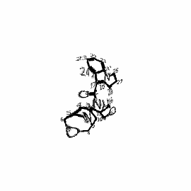 O=C(NC1CC2COCC(C1)N2CC1COC1)c1c2n(c3ccccc13)CCC2